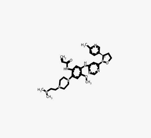 C=CC(=O)Nc1cc(Nc2cc(N3OCC[C@@H]3c3ccc(C)nc3)ncn2)c(OC)cc1N1CCN(CCN(C)C)CC1